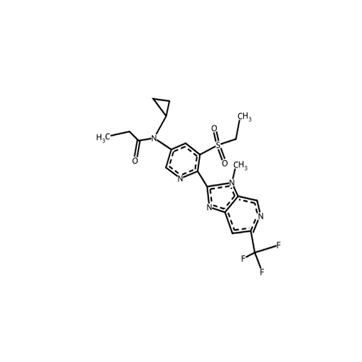 CCC(=O)N(c1cnc(-c2nc3cc(C(F)(F)F)ncc3n2C)c(S(=O)(=O)CC)c1)C1CC1